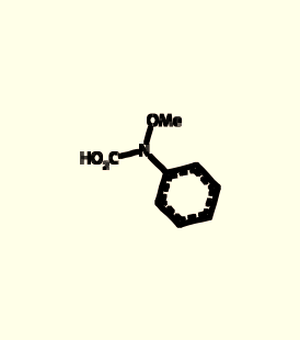 CON(C(=O)O)c1ccccc1